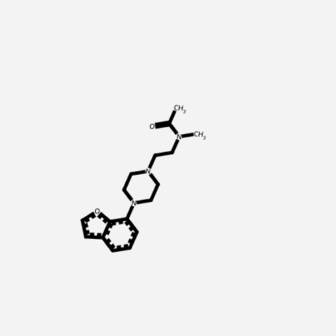 CC(=O)N(C)CCN1CCN(c2cccc3ccoc23)CC1